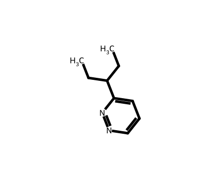 CCC(CC)c1cccnn1